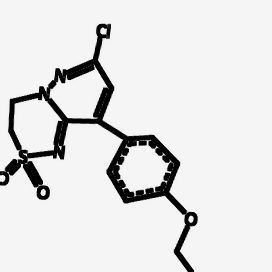 CC(C)(C)COc1ccc(C2=CC(Cl)=NN3CCS(=O)(=O)N=C23)cc1